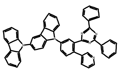 c1ccc(-c2nc(-c3ccccc3)nc(-c3cc(-n4c5ccccc5c5cc(-n6c7ccccc7c7ccccc76)ccc54)ccc3-c3cccnc3)n2)cc1